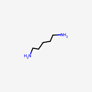 NCC[CH]CCN